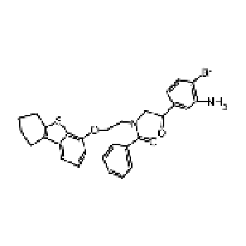 Nc1cc(C(=O)CN(CCOc2cccc3c4c(sc23)CCCC4)C(=O)c2ccccc2)ccc1Br